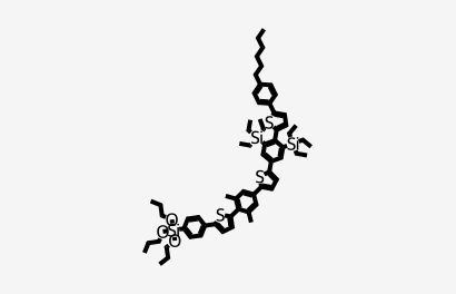 CCCCCCc1ccc(-c2ccc(-c3c([Si](CC)(CC)CC)cc(-c4ccc(-c5cc(C)c(-c6ccc(-c7ccc([Si](OCCC)(OCCC)OCCC)cc7)s6)c(C)c5)s4)cc3[Si](CC)(CC)CC)s2)cc1